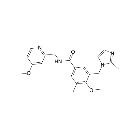 COc1ccnc(CNC(=O)c2cc(C)c(OC)c(Cn3ccnc3C)c2)c1